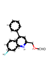 O=COCc1cc(-c2ccccc2)c2ccc(F)cc2n1